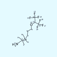 CC(C)(N)[Si](C)(C)CCCOC(C(F)(F)F)C(F)(F)F